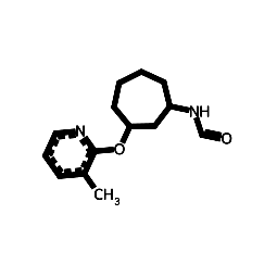 Cc1cccnc1OC1CCCCC(NC=O)C1